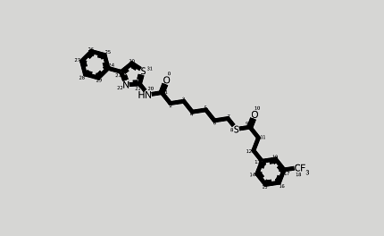 O=C(CCCCCCSC(=O)CCc1cccc(C(F)(F)F)c1)Nc1nc(-c2ccccc2)cs1